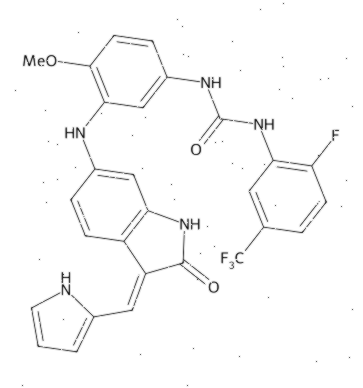 COc1ccc(NC(=O)Nc2cc(C(F)(F)F)ccc2F)cc1Nc1ccc2c(c1)NC(=O)C2=Cc1ccc[nH]1